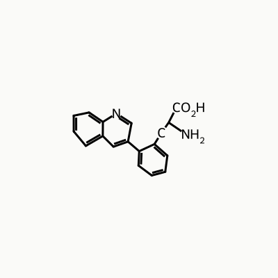 NC(Cc1ccccc1-c1cnc2ccccc2c1)C(=O)O